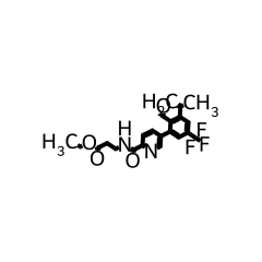 C=C(C)c1cc(C(F)(F)F)cc(-c2ccc(C(=O)NCCC(=O)OCC)nc2)c1C=O